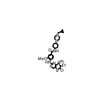 CCCN1c2nc(Nc3ccc(C(=O)NC4CCC(N5CCN(CC6CC6)CC5)CC4)cc3OC)ncc2N(C)C(=O)[C@H]1CC